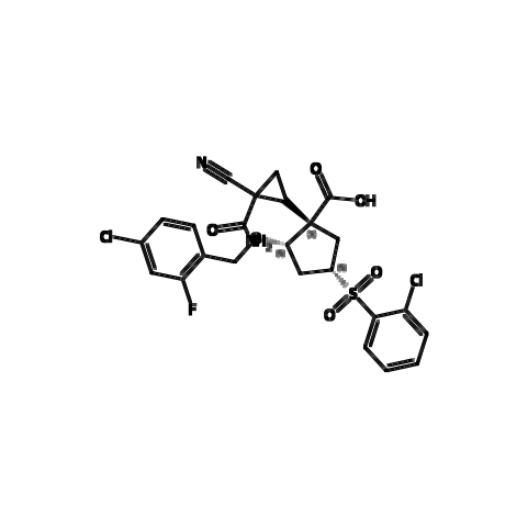 N#CC1(C(N)=O)CC1[C@@]1(C(=O)O)C[C@H](S(=O)(=O)c2ccccc2Cl)C[C@@H]1OCc1ccc(Cl)cc1F